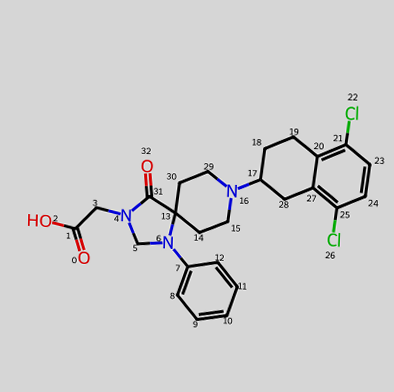 O=C(O)CN1CN(c2ccccc2)C2(CCN(C3CCc4c(Cl)ccc(Cl)c4C3)CC2)C1=O